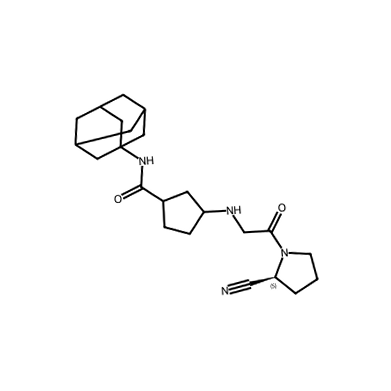 N#C[C@@H]1CCCN1C(=O)CNC1CCC(C(=O)NC23CC4CC(CC(C4)C2)C3)C1